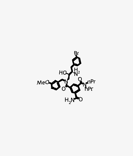 CCCN(CCC)C(=O)c1cc(C(N)=O)cc(C(=O)N(Cc2cccc(OC)c2)C[C@@H](O)[C@@H](N)Cc2cccc(Br)c2)c1